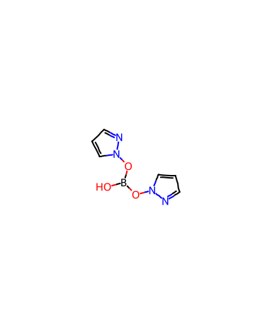 OB(On1cccn1)On1cccn1